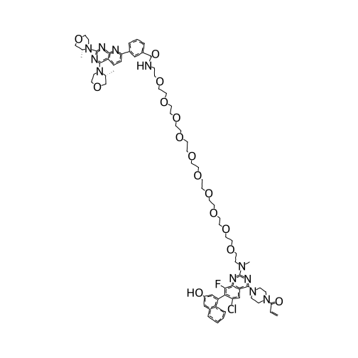 C=CC(=O)N1CCN(c2nc(N(C)CCOCCOCCOCCOCCOCCOCCOCCOCCOCCOCCNC(=O)c3cccc(-c4ccc5c(N6CCOC[C@H]6C)nc(N6CCOC[C@H]6C)nc5n4)c3)nc3c(F)c(-c4cc(O)cc5ccccc45)c(Cl)cc23)CC1